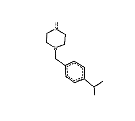 CC(C)c1ccc(CN2CCNCC2)cc1